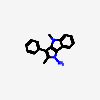 Cc1c(-c2ccccc2)c2c(c3ccccc3n2C)n1N